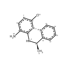 C[C@@H](Nc1nc(Cl)ncc1N)c1ccccn1